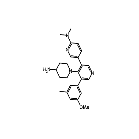 COc1cc(C)cc(-c2cncc(-c3ccc(N(C)C)nc3)c2N2CCC(N)CC2)c1